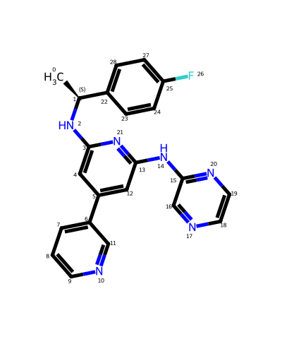 C[C@H](Nc1cc(-c2cccnc2)cc(Nc2cnccn2)n1)c1ccc(F)cc1